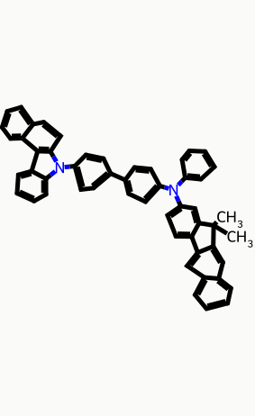 CC1(C)c2cc(N(c3ccccc3)c3ccc(-c4ccc(-n5c6ccccc6c6c7ccccc7ccc65)cc4)cc3)ccc2-c2cc3ccccc3cc21